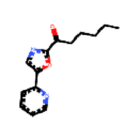 CCCCCC(=O)c1ncc(-c2ccccn2)o1